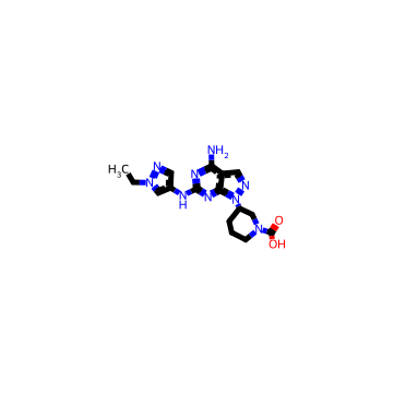 CCn1cc(Nc2nc(N)c3cnn(C4CCCN(C(=O)O)C4)c3n2)cn1